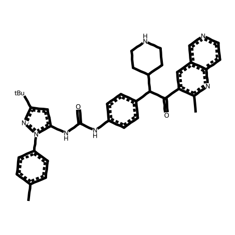 Cc1ccc(-n2nc(C(C)(C)C)cc2NC(=O)Nc2ccc(C(C(=O)c3cc4cnccc4nc3C)C3CCNCC3)cc2)cc1